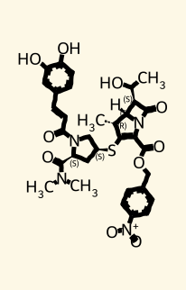 CC(O)[C@H]1C(=O)N2C(C(=O)OCc3ccc([N+](=O)[O-])cc3)=C(S[C@H]3C[C@@H](C(=O)N(C)C)N(C(=O)C=Cc4ccc(O)c(O)c4)C3)[C@H](C)[C@H]12